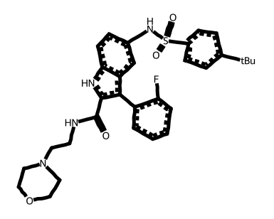 CC(C)(C)c1ccc(S(=O)(=O)Nc2ccc3[nH]c(C(=O)NCCN4CCOCC4)c(-c4ccccc4F)c3c2)cc1